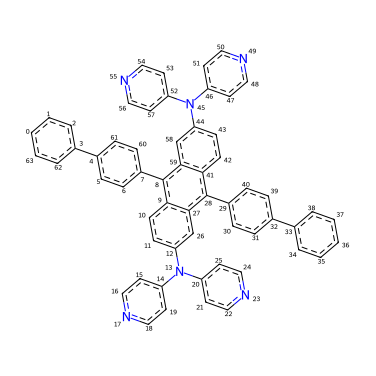 c1ccc(-c2ccc(-c3c4ccc(N(c5ccncc5)c5ccncc5)cc4c(-c4ccc(-c5ccccc5)cc4)c4ccc(N(c5ccncc5)c5ccncc5)cc34)cc2)cc1